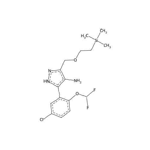 C[Si](C)(C)CCOCc1n[nH]c(-c2cc(Cl)ccc2OC(F)F)c1N